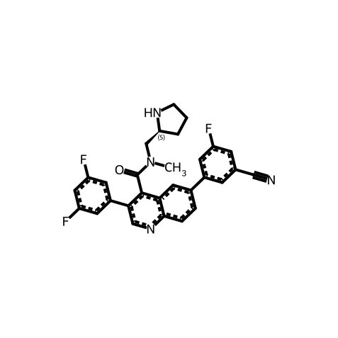 CN(C[C@@H]1CCCN1)C(=O)c1c(-c2cc(F)cc(F)c2)cnc2ccc(-c3cc(F)cc(C#N)c3)cc12